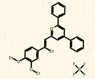 CCOc1ccc(C(=Cc2cc(-c3ccccc3)cc(-c3ccccc3)[o+]2)CC)cc1OCC.F[B-](F)(F)F